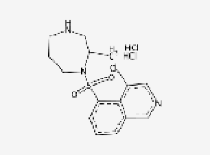 CC1CNCCCN1S(=O)(=O)c1cccc2cncc(Cl)c12.Cl.Cl